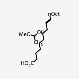 CCCCCCCCC=CCCCCCCCC(=O)O.COC(C)O